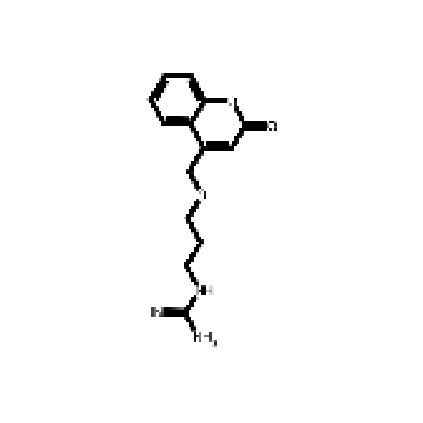 N=C(N)NCCCOCc1cc(=O)oc2ccccc12